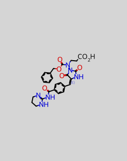 O=C(O)CCN(C(=O)OCc1ccccc1)N1C(=O)N/C(=C/c2ccc(C(=O)NC3=NCCCN3)cc2)C1=O